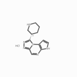 Cl.c1cc2c(ncc3nnc([C@H]4CCCNC4)n32)[nH]1